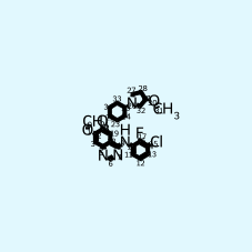 COc1cc2ncnc(Nc3cccc(Cl)c3F)c2cc1O[C@H]1CC[C@H](N2CC[C@@H](OC)C2)CC1